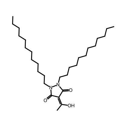 CCCCCCCCCCCCN1C(=O)C(=C(C)O)C(=O)N1CCCCCCCCCCCC